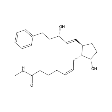 CNC(=O)CCC/C=C\C[C@H]1[C@@H](O)CC[C@@H]1/C=C/[C@@H](O)CCc1ccccc1